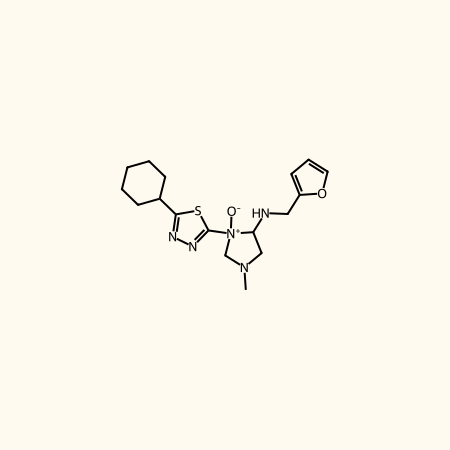 CN1CC(NCc2ccco2)[N+]([O-])(c2nnc(C3CCCCC3)s2)C1